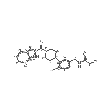 O=C(CF)NCc1ccc(F)c(C2CCN(C(=O)c3cc4cccnc4[nH]3)CC2)c1